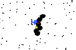 c1ccc(-c2ccc(Nc3ccc(-c4cccc5c4sc4ccc6ccccc6c45)cc3)cc2)cc1